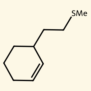 CSCCC1C=CCCC1